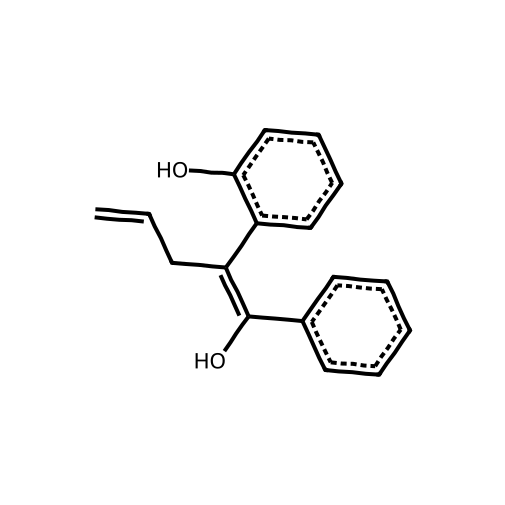 C=CCC(=C(O)c1ccccc1)c1ccccc1O